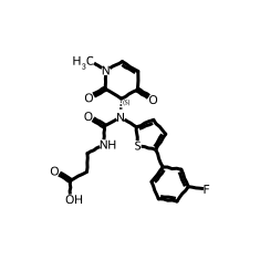 CN1C=CC(=O)[C@H](N(C(=O)NCCC(=O)O)c2ccc(-c3cccc(F)c3)s2)C1=O